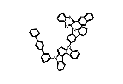 c1ccc(-c2ccc(-c3cccc(-n4c5ccccc5c5c6c7ccccc7n(-c7ccc8c(c7)c7ccccc7n8-c7nc8ccccc8nc7-c7ccc8ccccc8c7)c6ccc54)c3)cc2)cc1